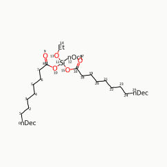 CCCCCCCCCCCCCCCCCC(=O)O[Si](CCCCCCCC)(OCC)OC(=O)CCCCCCCCCCCCCCCCC